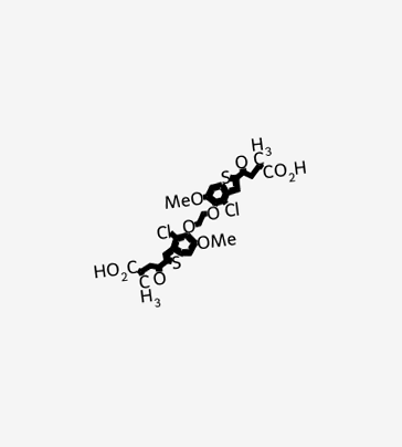 COc1cc2sc(C(=O)CC(C)C(=O)O)cc2c(Cl)c1OCCOc1c(OC)cc2sc(C(=O)CC(C)C(=O)O)cc2c1Cl